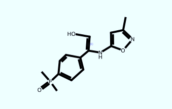 Cc1cc(N/C(=C/O)c2ccc(P(C)(C)=O)cc2)on1